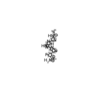 CS(=O)(=O)C(N)c1cc(F)cc(-c2cncc3[nH]c(-c4n[nH]c5cnc(-c6cncc(NC(=O)C7CC7)c6)cc45)cc23)c1